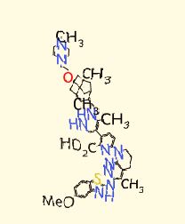 COc1ccc2sc(Nc3nnc4c(c3C)CCCN4c3ccc(/C(C=N)=C(\C)NCC4CC5(C)CC6(OCCN7CCN(C)CC7)CC7(C)CC4CC576)c(C(=O)O)n3)nc2c1